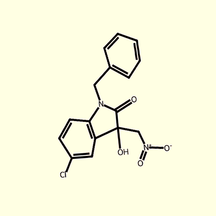 O=C1N(Cc2ccccc2)c2ccc(Cl)cc2C1(O)C[N+](=O)[O-]